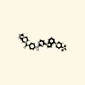 CS(=O)(=O)C1CCN(c2cccc3c2ccn3-c2ccnc(N[C@H]3CC[C@H](C(=O)N4CCn5cnnc5C4)CC3)n2)CC1